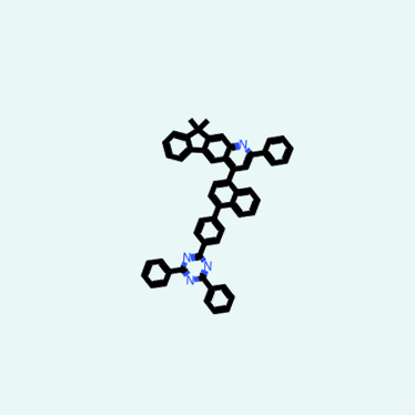 CC1(C)c2ccccc2-c2cc3c(-c4ccc(-c5ccc(-c6nc(-c7ccccc7)nc(-c7ccccc7)n6)cc5)c5ccccc45)cc(-c4ccccc4)nc3cc21